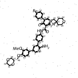 COc1cc(-c2cnc(N)c(-c3ccc(NC(=O)c4cn(CC5(N)CCOCC5)cc(-c5ccc(F)cc5)c4=O)cc3)c2)ccc1OC[C@H]1COCCO1